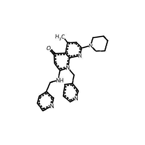 Cc1cc(N2CCCCC2)nc2c1c(=O)cc(NCc1cccnc1)n2Cc1cccnc1